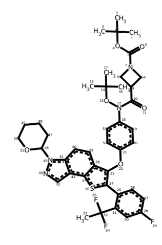 CC(C)(C)OC(=O)N1CC(C(=O)N(OC(C)(C)C)c2ccc(Oc3c(-c4ccc(F)cc4C(C)(F)F)sc4c3ccc3c4cnn3C3CCCCO3)cc2)C1